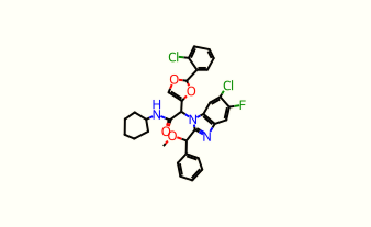 COC(c1ccccc1)c1nc2cc(F)c(Cl)cc2n1C(C(=O)NC1CCCCC1)C1=COC(c2ccccc2Cl)O1